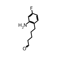 Nc1cc(F)ccc1CCCCC=O